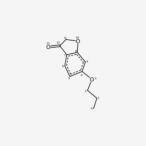 CCCOc1ccc2c(c1)OCC2=O